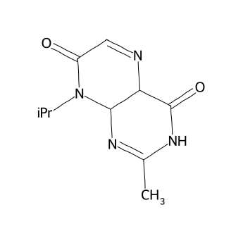 CC1=NC2C(N=CC(=O)N2C(C)C)C(=O)N1